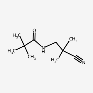 CC(C)(C#N)CNC(=O)C(C)(C)C